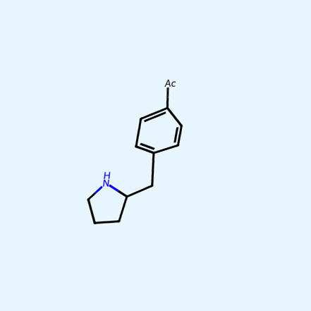 CC(=O)c1ccc(CC2CCCN2)cc1